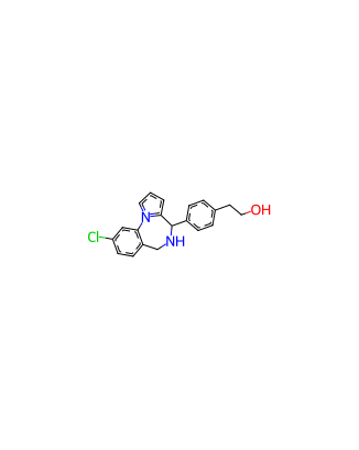 OCCc1ccc(C2NCc3ccc(Cl)cc3-n3cccc32)cc1